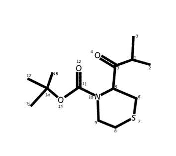 CC(C)C(=O)C1CSCCN1C(=O)OC(C)(C)C